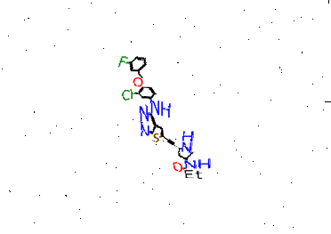 CCC(=O)N[C@@H]1CN[C@@H](C#Cc2cc3c(Nc4ccc(OCc5cccc(F)c5)c(Cl)c4)ncnc3s2)C1